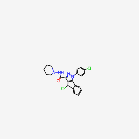 O=C(NN1CCCCC1)c1nn(-c2ccc(Cl)cc2)c2c1C(Cl)c1ccccc1-2